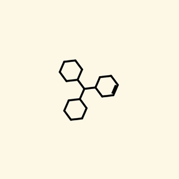 C1=CCC(C(C2CCCCC2)C2CCCCC2)CC1